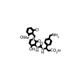 COc1cccc(Cl)c1Cn1ccc(O)c(NC(=O)NC(CC(=O)O)c2ccc(CN)cc2)c1=O